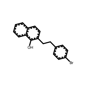 Oc1c(CCc2ccc(Br)cc2)ccc2ccccc12